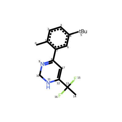 Cc1ccc(C(C)(C)C)cc1C1=NCNC(C(C)(F)F)=C1